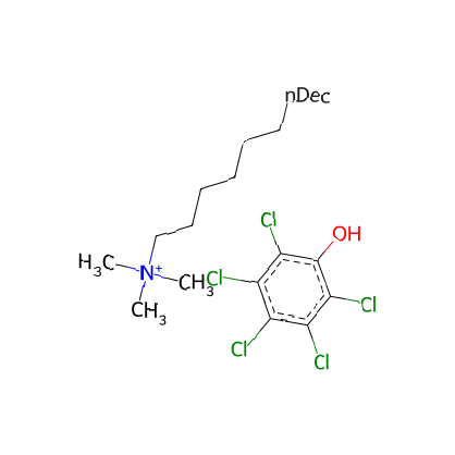 CCCCCCCCCCCCCCCC[N+](C)(C)C.Oc1c(Cl)c(Cl)c(Cl)c(Cl)c1Cl